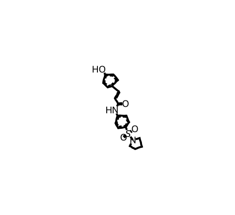 O=C(C=Cc1ccc(O)cc1)Nc1ccc(S(=O)(=O)N2CCCC2)cc1